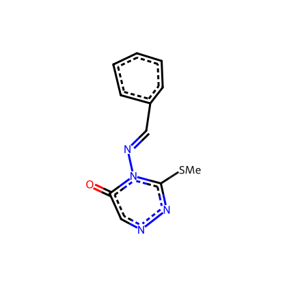 CSc1nncc(=O)n1N=Cc1ccccc1